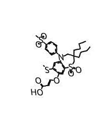 CCCCC1(CCCC)CN(c2ccc(S(C)(=O)=O)cc2)c2cc(SC)c(O/C=C/C(=O)O)cc2S(=O)(=O)C1